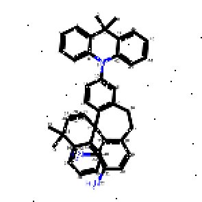 CC1(C)c2ccccc2N(c2ccc3c(c2)CCc2ccc(N)c(N)c2C32c3ccccc3C(C)(C)c3ccccc32)c2ccccc21